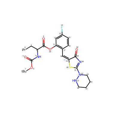 CC(C)CC(NC(=O)OC(C)(C)C)C(=O)Oc1cc(F)ccc1/C=C1/SC(N2CCCCN2)=NC1=O